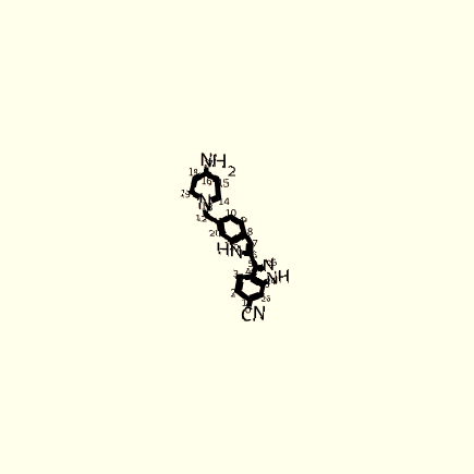 N#Cc1ccc2c(-c3cc4ccc(CN5CCC(N)CC5)cc4[nH]3)n[nH]c2c1